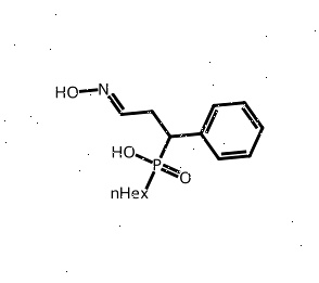 CCCCCCP(=O)(O)C(CC=NO)c1ccccc1